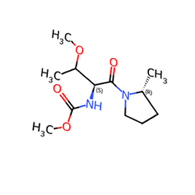 COC(=O)N[C@H](C(=O)N1CCC[C@H]1C)C(C)OC